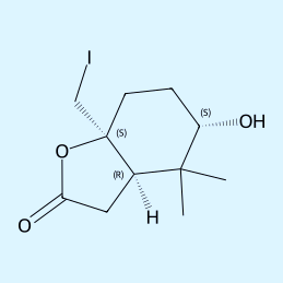 CC1(C)[C@H]2CC(=O)O[C@@]2(CI)CC[C@@H]1O